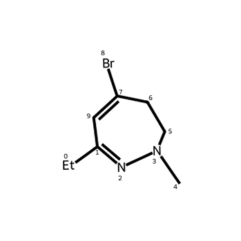 CCC1=NN(C)CCC(Br)=C1